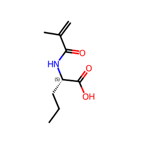 C=C(C)C(=O)N[C@@H](CCC)C(=O)O